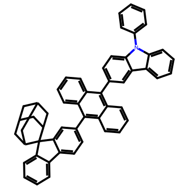 c1ccc(-n2c3ccccc3c3cc(-c4c5ccccc5c(-c5ccc6c(c5)C5(c7ccccc7-6)C6CC7CC(C6)CC5C7)c5ccccc45)ccc32)cc1